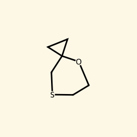 C1CSCC2(CC2)O1